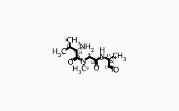 CC(C)[C@H](N)C(=O)N(C)CC(=O)N[C@@H](C)C=O